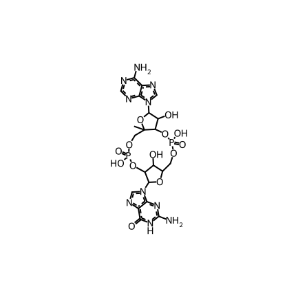 CC12COP(=O)(O)OC3C(O)C(COP(=O)(O)OC1C(O)C(n1cnc4c(N)ncnc41)O2)OC3n1cnc2c(=O)[nH]c(N)nc21